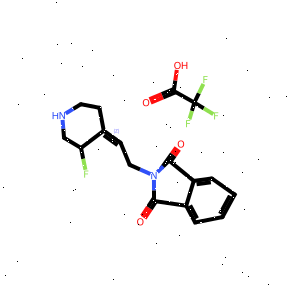 O=C(O)C(F)(F)F.O=C1c2ccccc2C(=O)N1C/C=C1/CCNCC1F